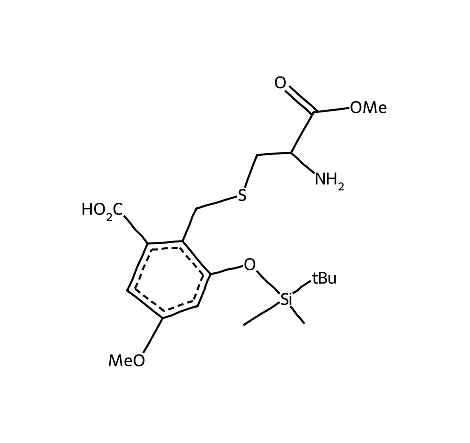 COC(=O)C(N)CSCc1c(O[Si](C)(C)C(C)(C)C)cc(OC)cc1C(=O)O